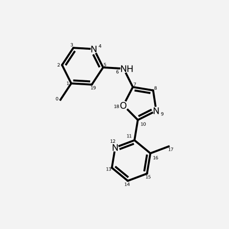 Cc1ccnc(Nc2cnc(-c3ncccc3C)o2)c1